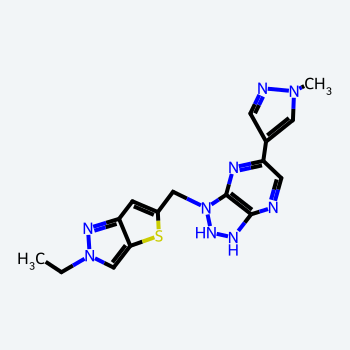 CCn1cc2sc(CN3NNc4ncc(-c5cnn(C)c5)nc43)cc2n1